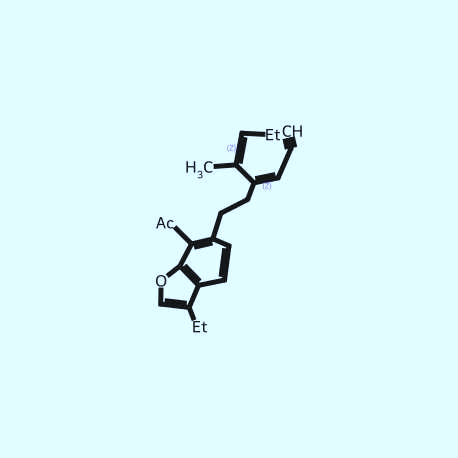 C#C/C=C(CCc1ccc2c(CC)coc2c1C(C)=O)\C(C)=C/CC